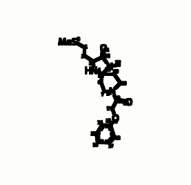 CSCCC1NC2(CCN(C(=O)COc3ccccc3)CC2)N(C)C1=O